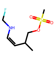 CC(/C=C\NCF)COS(C)(=O)=O